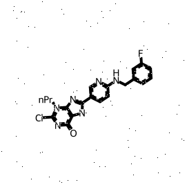 CCCn1c(Cl)nc(=O)c2c1N=C(c1ccc(NCc3cccc(F)c3)nc1)[N]2